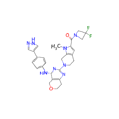 Cn1c(C(=O)N2CC(F)(F)C2)cc2c1CN(c1nc3c(c(Nc4ccc(-c5cn[nH]c5)cc4)n1)COCC3)CC2